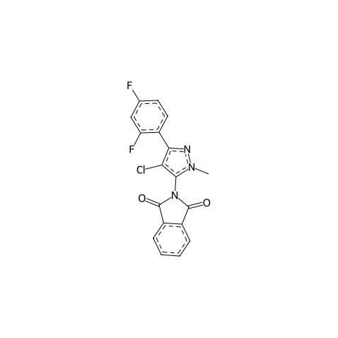 Cn1nc(-c2ccc(F)cc2F)c(Cl)c1N1C(=O)c2ccccc2C1=O